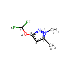 Cn1nc(OC(F)F)[c]c1C(F)(F)F